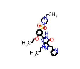 CCCOc1ccc(S(=O)(=O)N2CCN(CC)CC2)cc1-c1nc2c(c(Cc3ccccn3)nn2CCC)c(=O)[nH]1